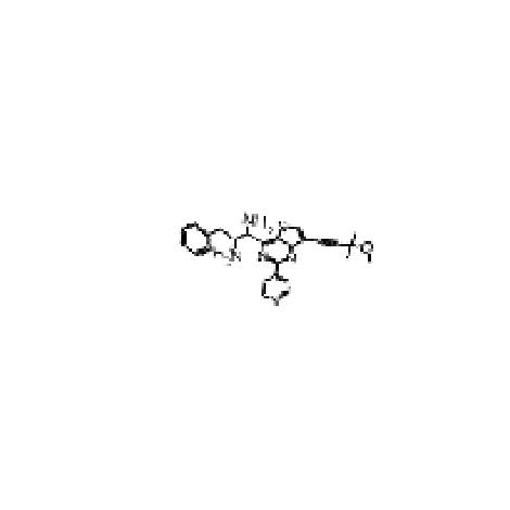 COC(C)(C)C#Cc1csc2c(C(N)C(N)Cc3ccccc3)nc(-c3ccncc3)nc12